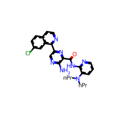 CCCN(CCC)c1cccnc1NC(=O)c1nc(-c2nccc3ccc(Cl)cc23)cnc1N